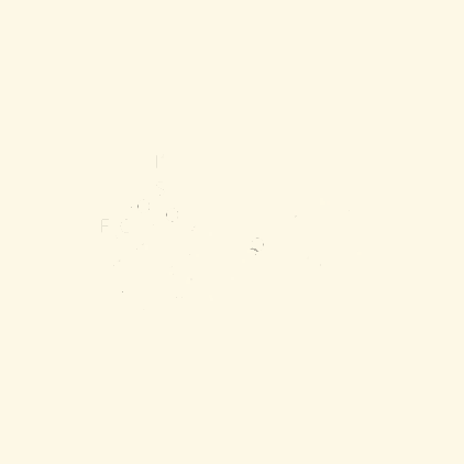 FC(F)(F)C1(OSI)OCC2(CCCC(OCc3ccccc3)C2)c2ccccc21